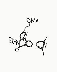 CCn1c(=O)c2ccc(-c3cc(C)nc(C)c3)cc2n2nc(CCOC)cc12